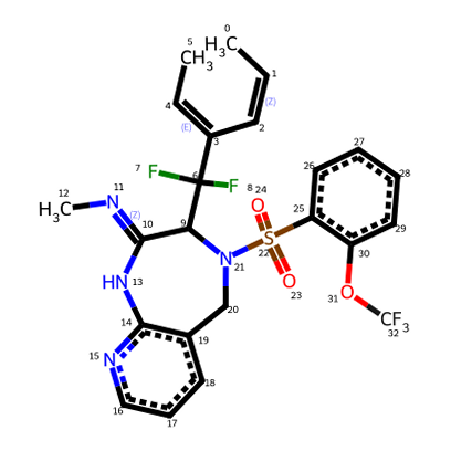 C/C=C\C(=C/C)C(F)(F)C1/C(=N/C)Nc2ncccc2CN1S(=O)(=O)c1ccccc1OC(F)(F)F